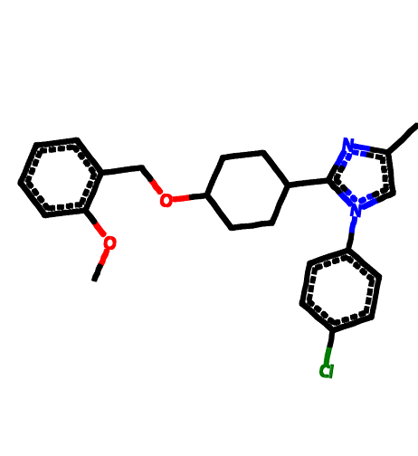 COc1ccccc1COC1CCC(c2nc(C)cn2-c2ccc(Cl)cc2)CC1